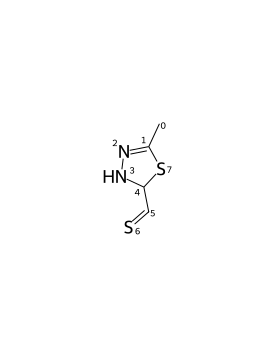 CC1=NNC(C=S)S1